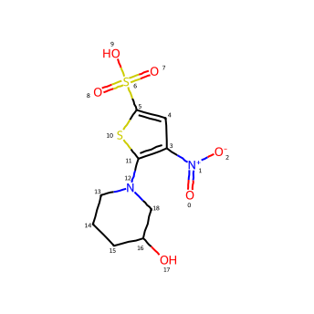 O=[N+]([O-])c1cc(S(=O)(=O)O)sc1N1CCCC(O)C1